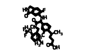 Cc1cc(C(Nc2cc3c(cc2F)CNC3=O)C(=O)N(C)Cc2cc(N)ccc2OC(F)F)ccc1[C@@H](C)CCC(=O)O